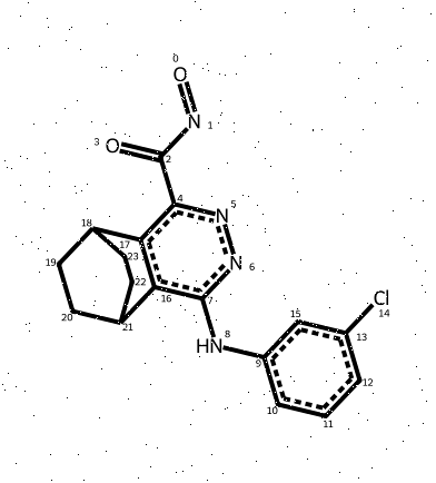 O=NC(=O)c1nnc(Nc2cccc(Cl)c2)c2c1C1CCC2CC1